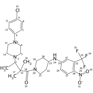 CC(N1CCN(c2ccc(Cl)cc2)CC1)C(C)(C)C(=O)N1CCC(Nc2ccc([N+](=O)[O-])c(C(F)(F)F)c2)CC1